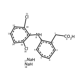 O=C(O)Cc1ccccc1Nc1c(Cl)cccc1Cl.[NaH].[NaH]